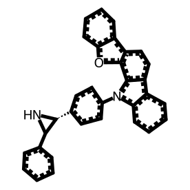 c1ccc(C2N[C@@H]2c2ccc(-n3c4ccccc4c4ccc5c6ccccc6oc5c43)cc2)cc1